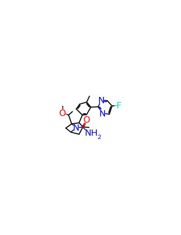 COC(C)C12CC(CC(C)C1c1ccc(C)c(-c3ncc(F)cn3)c1)N2C(N)=O